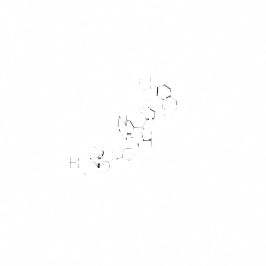 Cc1sc(C(=O)c2cncnc2N[C@@H]2CC[C](COS(N)(=O)=O)C2)cc1[C@@H]1OCCc2ccc(Cl)cc21